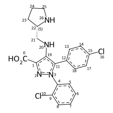 O=C(O)c1nn(-c2ccccc2Cl)c(-c2ccc(Cl)cc2)c1NC[C@@H]1CCCN1